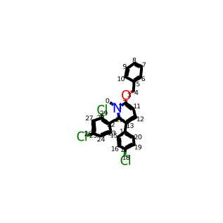 CN1C(OCc2ccccc2)=CC=C(c2ccc(Cl)cc2)C1c1ccc(Cl)cc1Cl